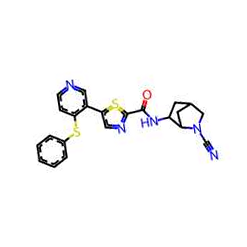 N#CN1CC2CC(NC(=O)c3ncc(-c4cnccc4Sc4ccccc4)s3)C1C2